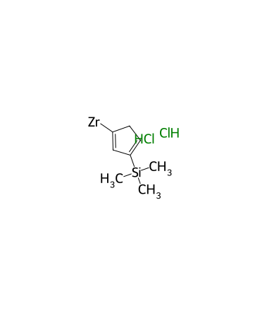 C[Si](C)(C)C1=CC[C]([Zr])=C1.Cl.Cl